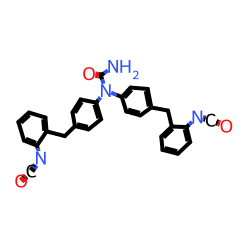 NC(=O)N(c1ccc(Cc2ccccc2N=C=O)cc1)c1ccc(Cc2ccccc2N=C=O)cc1